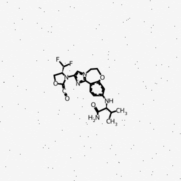 CC(C)[C@H](Nc1ccc2c(c1)OCCn1cc(N3C(=C=O)OC[C@H]3C(F)F)nc1-2)C(N)=O